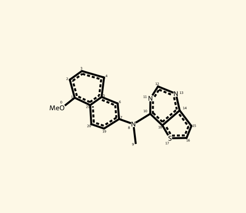 COc1cccc2cc(N(C)c3ncnc4ccsc34)ccc12